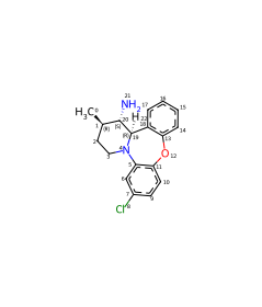 C[C@@H]1CCN2c3cc(Cl)ccc3Oc3ccccc3[C@@H]2[C@H]1N